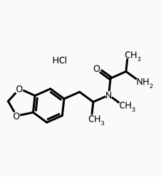 CC(N)C(=O)N(C)C(C)Cc1ccc2c(c1)OCO2.Cl